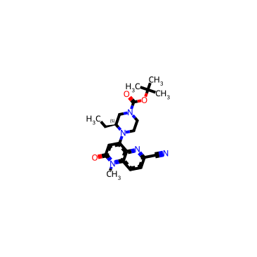 CC[C@H]1CN(C(=O)OC(C)(C)C)CCN1c1cc(=O)n(C)c2ccc(C#N)nc12